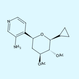 CC(=O)O[C@@H]1[C@@H](OC(C)=O)C[C@@H](c2ccncc2N)O[C@H]1C1CC1